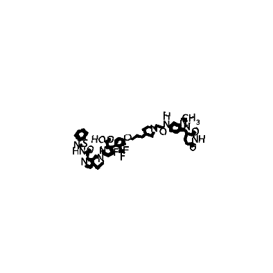 Cn1nc(C2CCC(=O)NC2=O)c2ccc(NC(=O)CN3CCC(CCCOc4ccc(-c5ccc(N6CCc7ccnc(C(=O)Nc8nc9ccccc9s8)c7C6)nc5C(=O)O)c(C(F)(F)F)c4)CC3)cc21